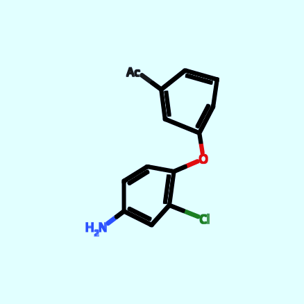 CC(=O)c1cccc(Oc2ccc(N)cc2Cl)c1